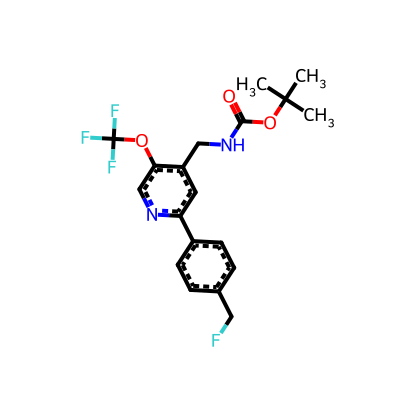 CC(C)(C)OC(=O)NCc1cc(-c2ccc(CF)cc2)ncc1OC(F)(F)F